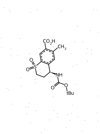 Cc1cc2c(cc1C(=O)O)S(=O)(=O)CC[C@@H]2NC(=O)OC(C)(C)C